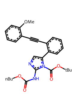 CCCCOC(=O)Nc1ncc(-c2ccccc2C#Cc2ccccc2OC)n1C(=O)OC(C)(C)C